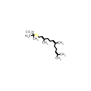 CC(C)=CCCC(C)=CCC/C(C)=C/CSC(C)(C)C(=O)O